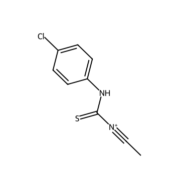 CC#[N+]C(=S)Nc1ccc(Cl)cc1